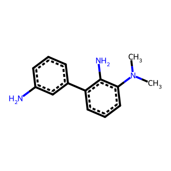 CN(C)c1cccc(-c2cccc(N)c2)c1N